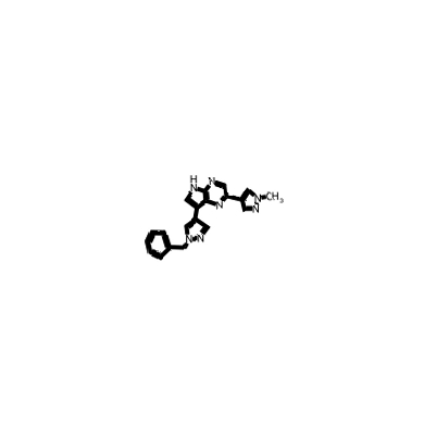 Cn1cc(-c2cnc3[nH]cc(-c4cnn(Cc5ccccc5)c4)c3n2)cn1